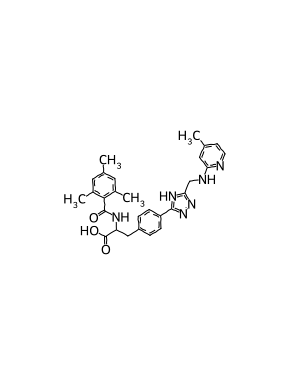 Cc1ccnc(NCc2nnc(-c3ccc(CC(NC(=O)c4c(C)cc(C)cc4C)C(=O)O)cc3)[nH]2)c1